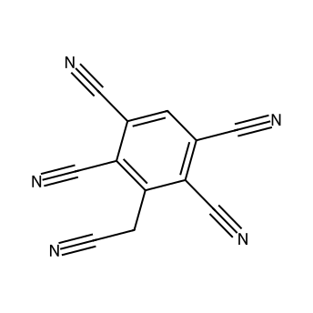 N#CCc1c(C#N)c(C#N)cc(C#N)c1C#N